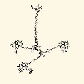 C#CCCOP(OCCOCCOCCOCCOCCOCCOCCC(=O)NC(CCC(=O)NC(CCC(=O)NCCOCCOC1OC(COC(C)=O)C(OC(C)=O)C(OC(C)=O)C1NC(C)=O)C(=O)NCCCCOCCOC1OC(COC(C)=O)C(OC(C)=O)C(OC(C)=O)C1NC(C)=O)C(=O)NCCOCCOC1OC(CCC(C)=O)C(OC(C)=O)C(OC(C)=O)C1NC(C)=O)N(C(C)C)C(C)C